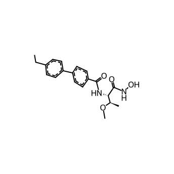 CCc1ccc(-c2ccc(C(=O)N[C@H](C(=O)NO)[C@@H](C)OC)cc2)cc1